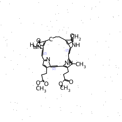 C=CC1=C2CCCC3=C(C)/C(=C/C4=NC(=C\c5[nH]c(c(C)c5CCC(=O)OC)/C=C/1NC2=O)/C(CCC(=O)OC)=C4)NC3=O